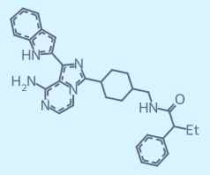 CCC(C(=O)NCC1CCC(c2nc(-c3cc4ccccc4[nH]3)c3c(N)nccn23)CC1)c1ccccc1